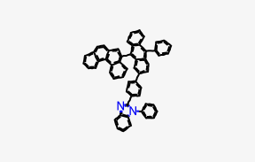 c1ccc(-c2c3ccccc3c(-c3cc4ccc5ccccc5c4c4ccccc34)c3cc(-c4ccc(-c5nc6ccccc6n5-c5ccccc5)cc4)ccc23)cc1